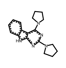 c1ccc2c(c1)[nH]c1nc(N3CCCC3)nc(N3CCCC3)c12